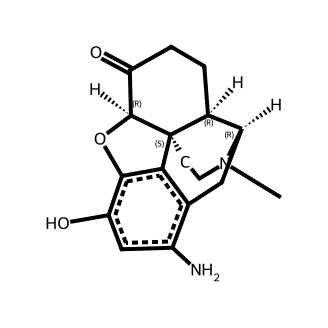 CN1CC[C@]23c4c5c(N)cc(O)c4O[C@H]2C(=O)CC[C@H]3[C@H]1C5